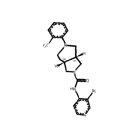 CC(=O)c1cnccc1NC(=O)N1C[C@@H]2CN(c3ccccc3C(F)(F)F)C[C@@H]2C1